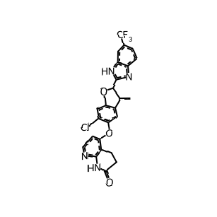 CC1c2cc(Oc3ccnc4c3CCC(=O)N4)c(Cl)cc2OC1c1nc2ccc(C(F)(F)F)cc2[nH]1